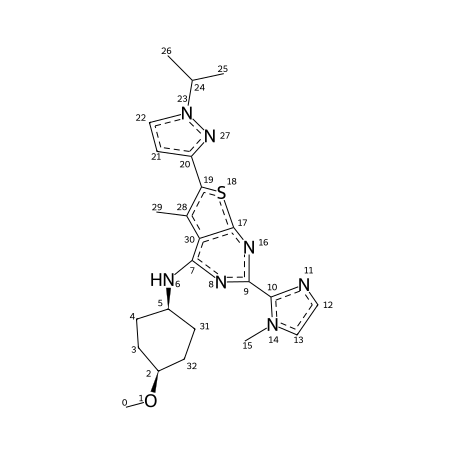 CO[C@H]1CC[C@@H](Nc2nc(-c3nccn3C)nc3sc(-c4ccn(C(C)C)n4)c(C)c23)CC1